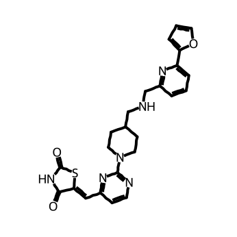 O=C1NC(=O)C(=Cc2ccnc(N3CCC(CNCc4cccc(-c5ccco5)n4)CC3)n2)S1